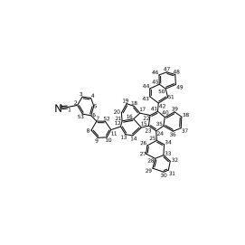 N#Cc1cccc(-c2cccc(-c3ccc4c5c(cccc35)-c3c-4c(-c4ccc5ccccc5c4)c4ccccc4c3-c3ccc4ccccc4c3)c2)c1